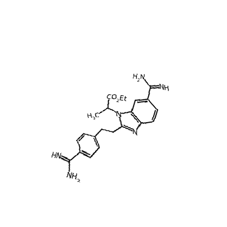 CCOC(=O)C(C)n1c(CCc2ccc(C(=N)N)cc2)nc2ccc(C(=N)N)cc21